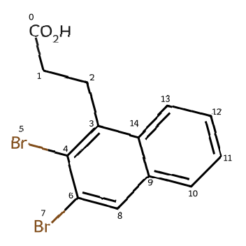 O=C(O)CCc1c(Br)c(Br)cc2ccccc12